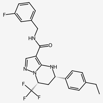 CCc1ccc([C@@H]2C[C@H](C(F)(F)F)n3ncc(C(=O)NCc4cccc(F)c4)c3N2)cc1